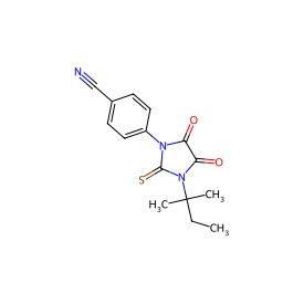 CCC(C)(C)N1C(=O)C(=O)N(c2ccc(C#N)cc2)C1=S